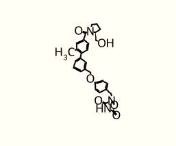 Cc1cc(C(=O)N2CCC[C@H]2CO)ccc1-c1cccc(COc2ccc(Cn3oc(=O)[nH]c3=O)cc2)c1